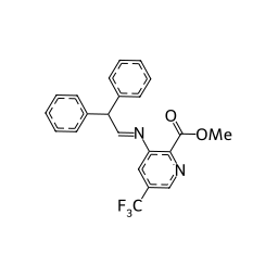 COC(=O)c1ncc(C(F)(F)F)cc1N=CC(c1ccccc1)c1ccccc1